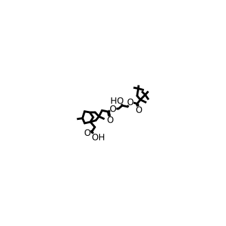 CC1CC2CC(C)(CC(=O)OCC(O)COC(=O)C(C)(CC(C)(C)C)C(C)(C)C)CC(CC(=O)O)(C1)C2